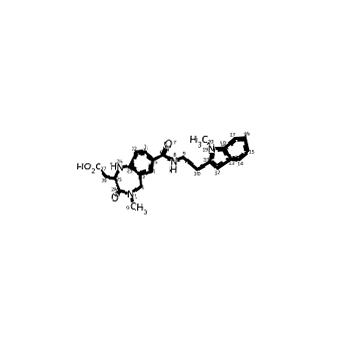 CN1Cc2cc(C(=O)NCCc3cc4ccccc4n3C)ccc2NC(CC(=O)O)C1=O